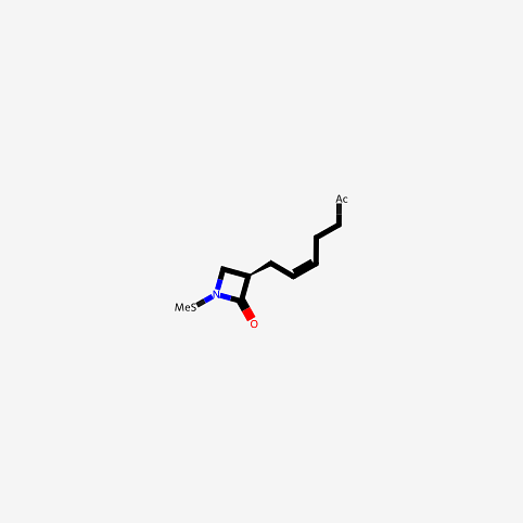 CSN1C[C@@H](C/C=C\CCC(C)=O)C1=O